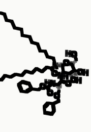 CCCCCCCCCCCCCCN(C(=O)CCCCCCCCCCC)[C@@H]1O[C@H](CO)[C@@H](O)[C@H](O)[C@H]1NC(=O)[C@H](COCc1ccccc1)NC(=O)OCc1ccccc1